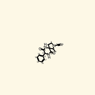 CC1N(C#N)CCC12NC(=O)C(c1ccccc1)NC2=O